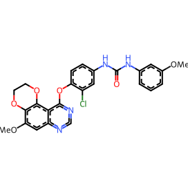 COc1cccc(NC(=O)Nc2ccc(Oc3ncnc4cc(OC)c5c(c34)OCCO5)c(Cl)c2)c1